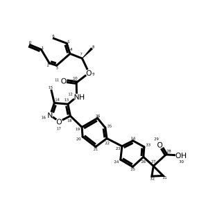 C=C/C=C\C(=C/C)[C@@H](C)OC(=O)Nc1c(C)noc1-c1ccc(-c2ccc(C3(C(=O)O)CC3)cc2)cc1